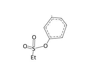 CCS(=O)(=O)Oc1c[c]ccc1